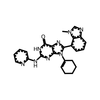 Cn1cnc2cccc(-c3nc4c(=O)[nH]c(Nc5ccccn5)nc4n3C3=CCCCC3)c21